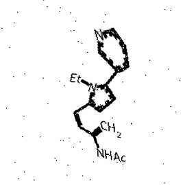 C=C(/C=C\c1ccc(-c2cccnc2)n1CC)NC(C)=O